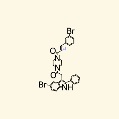 O=C(/C=C/c1cccc(Br)c1)N1CCN(C(=O)Cc2c(-c3ccccc3)[nH]c3ccc(Br)cc23)CC1